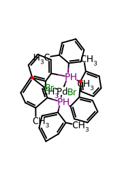 Cc1ccccc1[PH](c1ccccc1C)(c1ccccc1C)[Pd]([Br])([Br])[PH](c1ccccc1C)(c1ccccc1C)c1ccccc1C